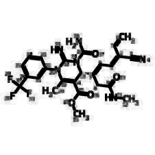 C=C/C(C#N)=C\C=C(/CC(=O)NC)[C@@H]1C(C(=O)OC)=C(C)N(c2cccc(C(F)(F)F)c2)C(=N)N1C(N)=O